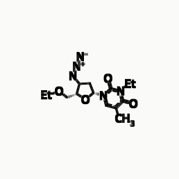 CCOC[C@H]1O[C@@H](n2cc(C)c(=O)n(CC)c2=O)CC1N=[N+]=[N-]